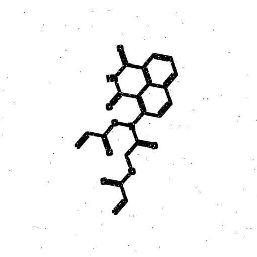 C=CC(=O)OCC(=O)N(OC(=O)C=C)c1ccc2cccc3c2c1C(=O)NC3=O